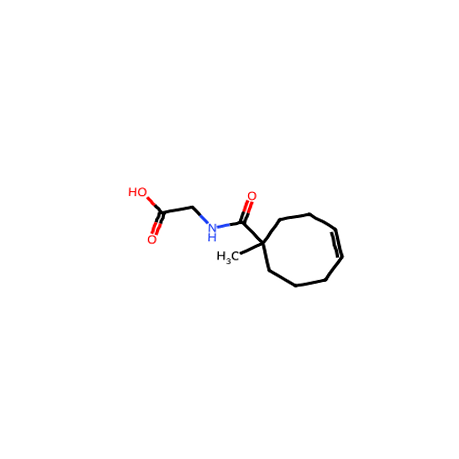 CC1(C(=O)NCC(=O)O)CCC=CCCC1